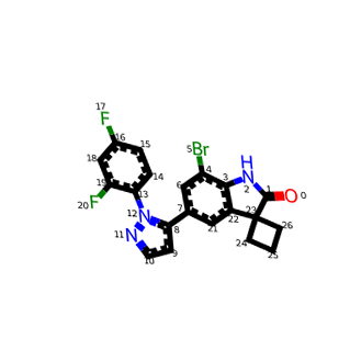 O=C1Nc2c(Br)cc(-c3ccnn3-c3ccc(F)cc3F)cc2C12CCC2